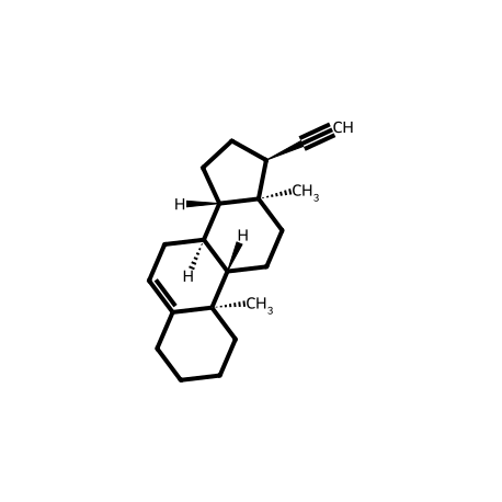 C#C[C@@H]1CC[C@H]2[C@@H]3CC=C4CCCC[C@]4(C)[C@H]3CC[C@]12C